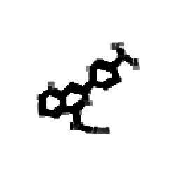 CCCCCNc1nc(-c2ccc(N(CC)CC)cc2)cc2ncccc12